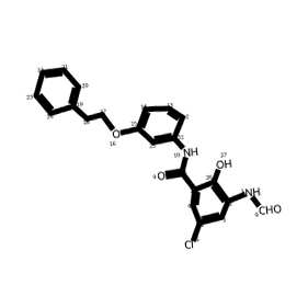 O=CNc1cc(Cl)cc(C(=O)Nc2cccc(OCCc3ccccc3)c2)c1O